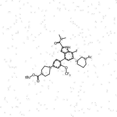 CC(=O)N1CCC[C@H](c2cc(-c3ccc(N4CCN(C(=O)OC(C)(C)C)CC4)cc3OC(F)(F)F)c3cc(C(=O)N(C)C)[nH]c3c2F)C1